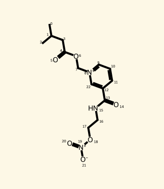 CC(C)CC(=O)OC[n+]1cccc(C(=O)NCCO[N+](=O)[O-])c1